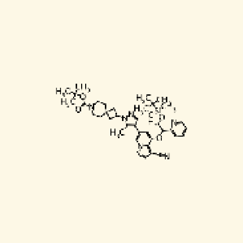 Cc1c(-c2cc(OC(CO[Si](C)(C)C(C)(C)C)c3ccccn3)c3c(C#N)cnn3c2)cnn1C1CC2(CCN(C(=O)OC(C)(C)C)CC2)C1